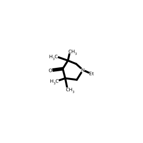 CCN1CC(C)(C)C(=O)C(C)(C)C1